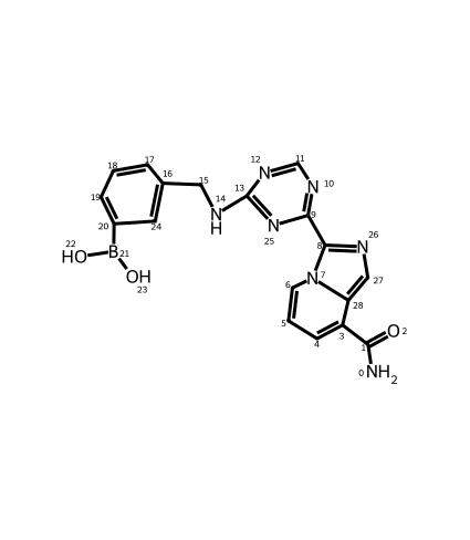 NC(=O)c1cccn2c(-c3ncnc(NCc4cccc(B(O)O)c4)n3)ncc12